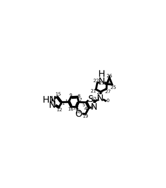 CN(c1nc2c(s1)-c1ccc(-c3cn[nH]c3)cc1OC2)C1CCNC2(CC2)C1